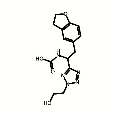 O=C(O)NC(Cc1ccc2c(c1)CCO2)c1nnn(CCO)n1